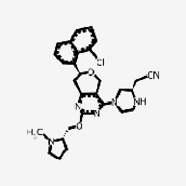 CN1CCC[C@H]1COc1nc2c(c(N3CCN[C@H](CC#N)C3)n1)CO[C@H](c1cccc3cccc(Cl)c13)C2